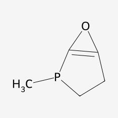 CP1CCC2=C1O2